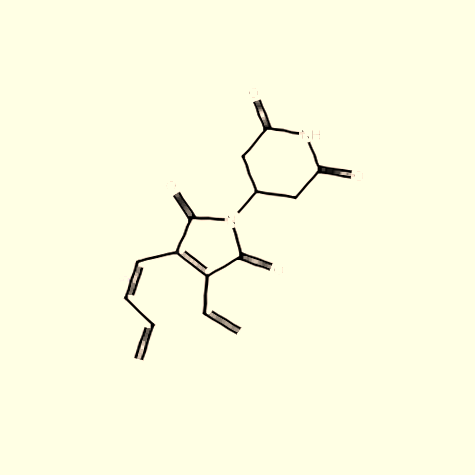 C=C/C=C\C1=C(C=C)C(=O)N(C2CC(=O)NC(=O)C2)C1=O